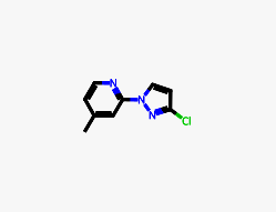 Cc1ccnc(-n2ccc(Cl)n2)c1